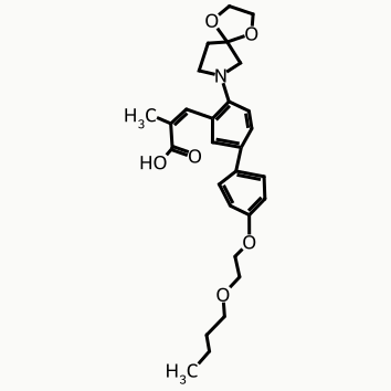 CCCCOCCOc1ccc(-c2ccc(N3CCC4(C3)OCCO4)c(C=C(C)C(=O)O)c2)cc1